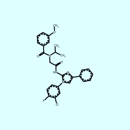 COc1cccc(C(=O)N(CC(=O)Nc2nc(-c3ccccc3)cn2-c2ccc(F)c(Cl)c2)C(C)C)c1